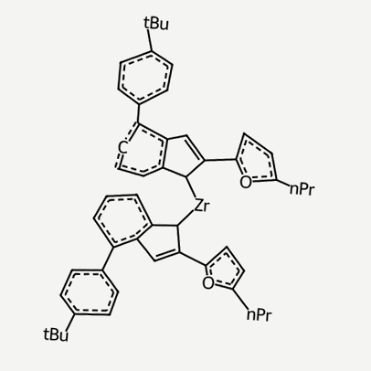 CCCc1ccc(C2=Cc3c(-c4ccc(C(C)(C)C)cc4)cccc3[CH]2[Zr][CH]2C(c3ccc(CCC)o3)=Cc3c(-c4ccc(C(C)(C)C)cc4)cccc32)o1